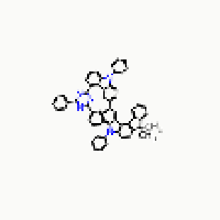 CC1(C)c2ccccc2-c2c1ccc1c2c2cc(-c3ccc4c(c3)c3c(-c5nc(-c6ccccc6)nc(-c6ccccc6)n5)cccc3n4-c3ccccc3)ccc2n1-c1ccccc1